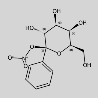 O=[N+]([O-])O[C@]1(c2ccccc2)O[C@H](CO)[C@H](O)[C@H](O)[C@H]1O